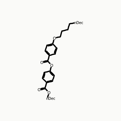 CCCCCCCCCCCCCCOc1ccc(C(=O)Oc2ccc(C(=O)OCCCCCCCCCC)cc2)cc1